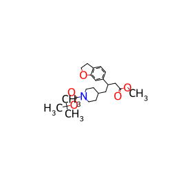 COC(=O)CC(CC1CCN(C(=O)OC(C)(C)C)CC1)c1ccc2c(c1)OCC2